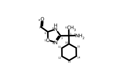 CC(N)(C1=NOC(C=O)N1)C1CCCCC1